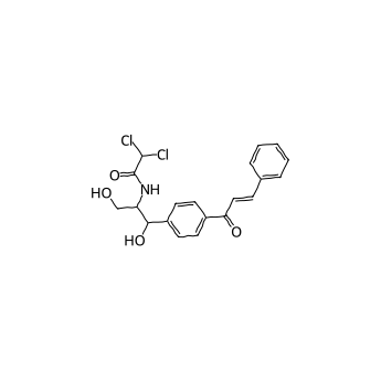 O=C(C=Cc1ccccc1)c1ccc(C(O)C(CO)NC(=O)C(Cl)Cl)cc1